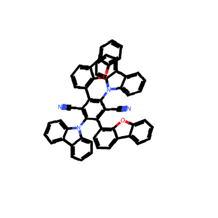 N#Cc1c(-c2cccc3c2oc2ccccc23)c(-n2c3ccccc3c3ccccc32)c(C#N)c(-c2cccc3c2oc2ccccc23)c1-n1c2ccccc2c2ccccc21